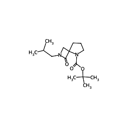 CC(C)CN1CC2(CCCN2C(=O)OC(C)(C)C)C1=O